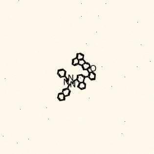 c1ccc(-c2nc(-c3ccc4ccccc4c3)nc(-c3ccc(-c4cccc5oc6cc7c(cc6c45)-c4cccc5cccc-7c45)c4ccccc34)n2)cc1